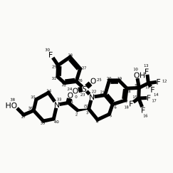 O=C(C[C@@H]1CCc2cc(C(O)(C(F)(F)F)C(F)(F)F)ccc2N1S(=O)(=O)c1ccc(F)cc1)N1CCC(CO)CC1